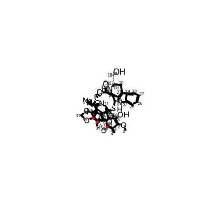 COc1c(C)cc2c(c1O)[C@@H]1C3[C@@H]4SC[C@]5(N[C@H](CO)Cc6c5[nH]c5ccccc65)C(=O)OC[C@@H](c5c6c(c(C)c(OC(C)=O)c54)OCO6)N3[C@@H](C#N)[C@H]3C[C@@]2(C)N13